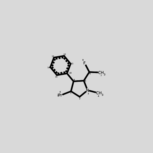 CC(C)C1CN(C)C(C(C)F)C1c1ccccc1